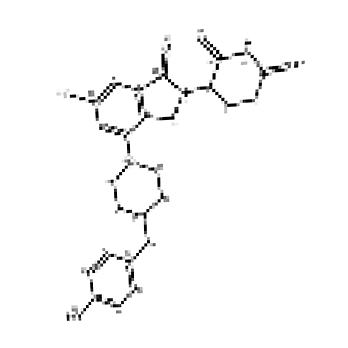 O=C1CCC(N2Cc3c(cc(F)cc3N3CCN(Cc4ccc(O)cc4)CC3)C2=O)C(=O)N1